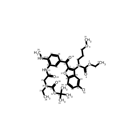 CCOC(=O)N(CCCOC)c1c(C(=O)c2ccc(NC)c(NC(=O)CN(CC)C(=O)OC(C)(C)C)c2)oc2ccc(Cl)cc12